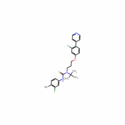 CC(C)(C=O)N(CCCOc1ccc(-c2ccncc2)c(F)c1)C(=S)Nc1ccc(C#N)c(F)c1